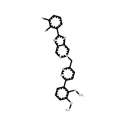 COc1cccc(-c2ccc(Cn3cc4nc(-c5cccc(F)c5F)nc-4cn3)nn2)c1OC